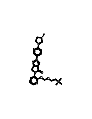 C[Si](C)(C)CCOCOc1ncccc1N1Cc2nn(-c3ccc(N4CC[C@H](F)C4)nc3)cc2C1=O